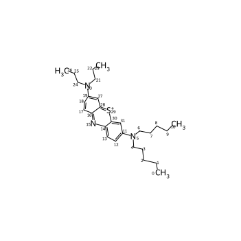 CCCCCN(CCCCC)c1ccc2nc3ccc(N(CCC)CCC)cc3[s+]c2c1